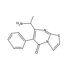 CC(N)c1nc2sccn2c(=O)c1-c1ccccc1